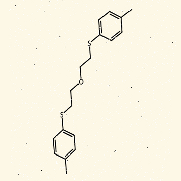 Cc1ccc(SCCOCCSc2ccc(C)cc2)cc1